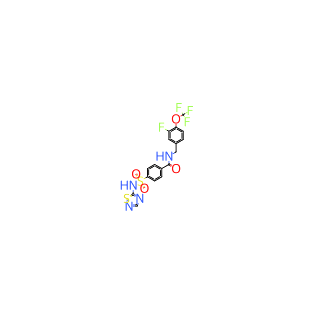 O=C(NCc1ccc(OC(F)(F)F)c(F)c1)c1ccc(S(=O)(=O)Nc2ncns2)cc1